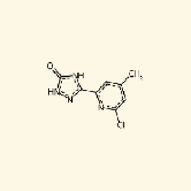 Cc1cc(Cl)nc(-c2n[nH]c(=O)[nH]2)c1